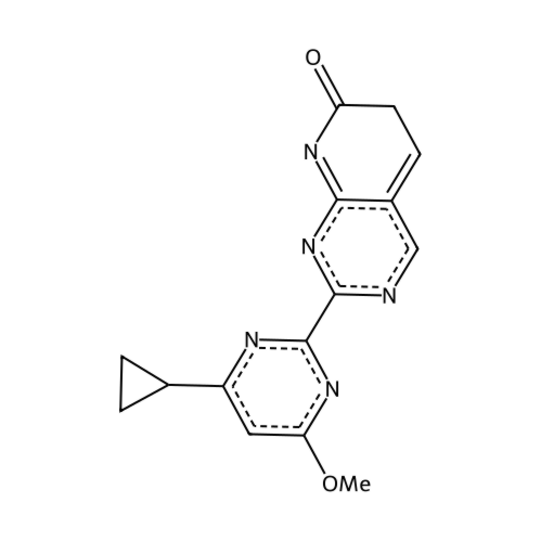 COc1cc(C2CC2)nc(-c2ncc3c(n2)=NC(=O)CC=3)n1